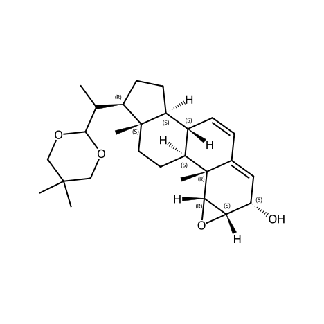 CC(C1OCC(C)(C)CO1)[C@H]1CC[C@H]2[C@@H]3C=CC4=C[C@H](O)[C@@H]5O[C@@H]5[C@]4(C)[C@H]3CC[C@]12C